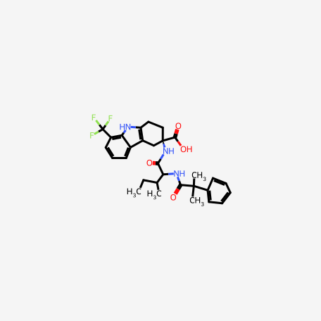 CCC(C)C(NC(=O)C(C)(C)c1ccccc1)C(=O)N[C@]1(C(=O)O)CCc2[nH]c3c(C(F)(F)F)cccc3c2C1